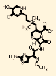 CON=C(C(=O)N[C@@H]1C(=O)N2C(C(=O)[O-])=C(C[N+](C)(C)CCc3cc(=O)c(O)c[nH]3)CS[C@@H]12)c1csc(N)n1